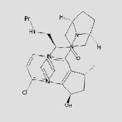 CC(C)NC[C@@H](C(=O)N1[C@@H]2CC[C@H]1CN(c1ncnc3c1[C@H](C)C[C@H]3O)C2)c1ccc(Cl)cc1